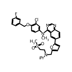 CC(C)N(CCS(C)(=O)=O)Cc1ccc(-c2ccc3ncnc(N(C)c4ccc(OCc5cccc(F)c5)c(Cl)c4)c3c2)o1